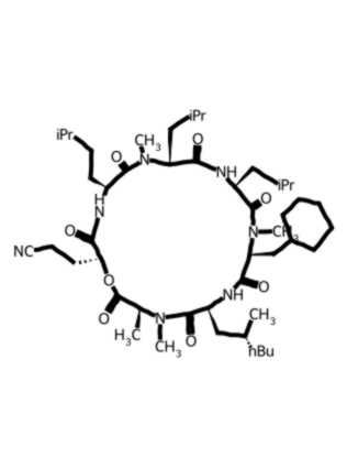 CCCC[C@@H](C)C[C@@H]1NC(=O)[C@H](CC2CCCCC2)N(C)C(=O)[C@H](CC(C)C)NC(=O)[C@H](CC(C)C)N(C)C(=O)[C@H](CCC(C)C)NC(=O)[C@@H](CCC#N)OC(=O)[C@H](C)N(C)C1=O